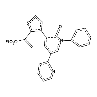 C=C(C(=O)OCC)c1sccc1-c1cc(-c2ccccn2)cn(-c2ccccc2)c1=O